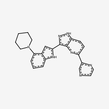 c1cc(N2CCCCC2)c2cc(-c3n[nH]c4ccc(-c5cnccn5)nc34)[nH]c2c1